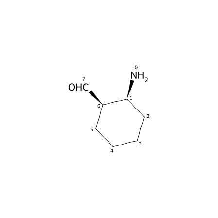 N[C@H]1CCCC[C@H]1C=O